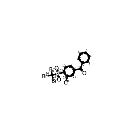 O=C(c1ccccc1)c1ccc(S(=O)(=O)C(Br)(Br)Br)c(Cl)c1